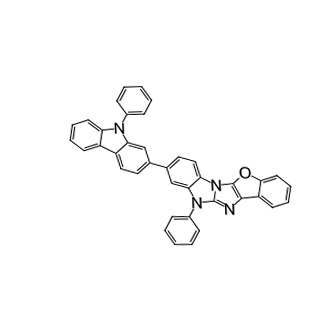 c1ccc(-n2c3ccccc3c3ccc(-c4ccc5c(c4)n(-c4ccccc4)c4nc6c7ccccc7oc6n54)cc32)cc1